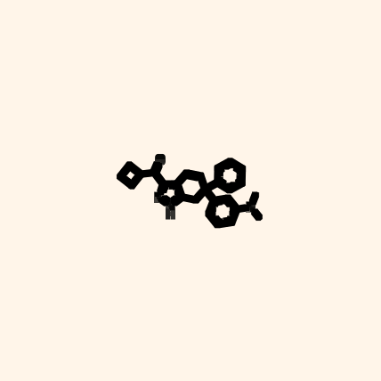 CN(C)c1cccc(C2(c3ccccc3)C=Cc3c(C(=O)C4CCC4)n[nH]c3C2)c1